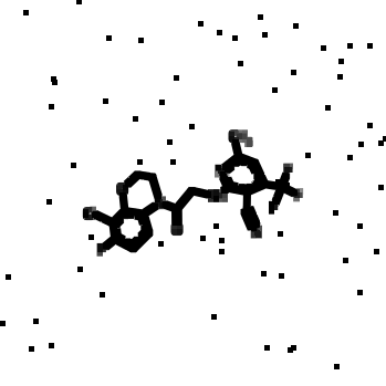 Cc1cc(C(F)(F)F)c(C#N)c(NCC(=O)N2CCOc3c2ccc(F)c3Cl)n1